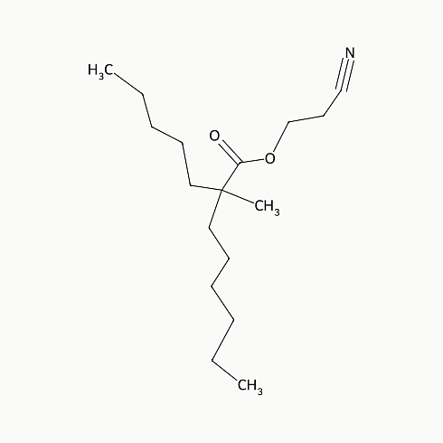 CCCCCCC(C)(CCCCC)C(=O)OCCC#N